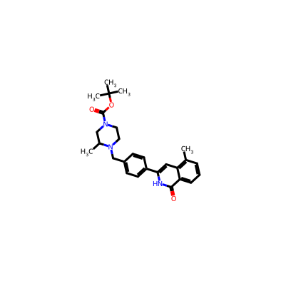 Cc1cccc2c(=O)[nH]c(-c3ccc(CN4CCN(C(=O)OC(C)(C)C)CC4C)cc3)cc12